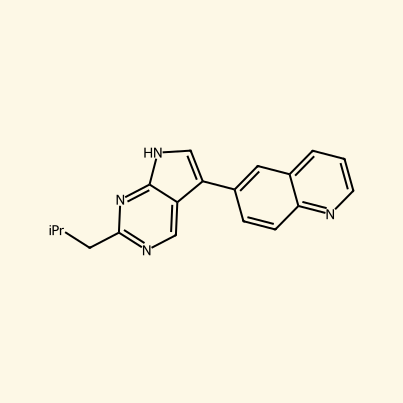 CC(C)Cc1ncc2c(-c3ccc4ncccc4c3)c[nH]c2n1